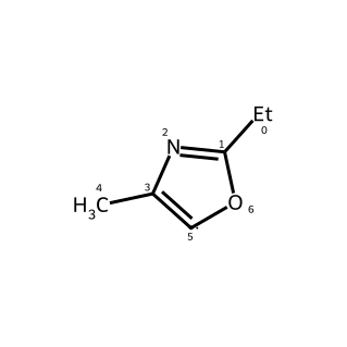 CCc1nc(C)[c]o1